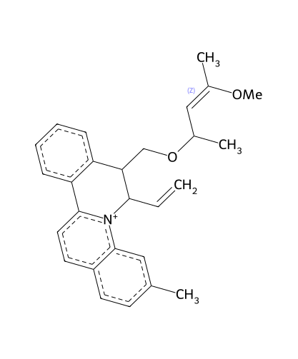 C=CC1C(COC(C)/C=C(/C)OC)c2ccccc2-c2ccc3ccc(C)cc3[n+]21